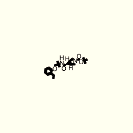 CCc1ccccc1OCC(C)(C)NC(=O)[C@H]1[C@@H]2CN(C(=O)OC(C)(C)C)C[C@@H]21